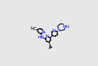 N#Cc1ccnc(Nc2cc(C3CC3)cc(-c3ccc(N4CCCNCC4)nc3)n2)c1